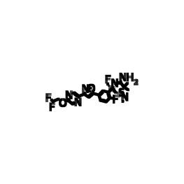 CN=[S@@]1C[C@@](CF)(c2cc(-c3cc(-c4cnc(OCC(F)F)cn4)no3)ccc2F)N=C(N)C1(C)C